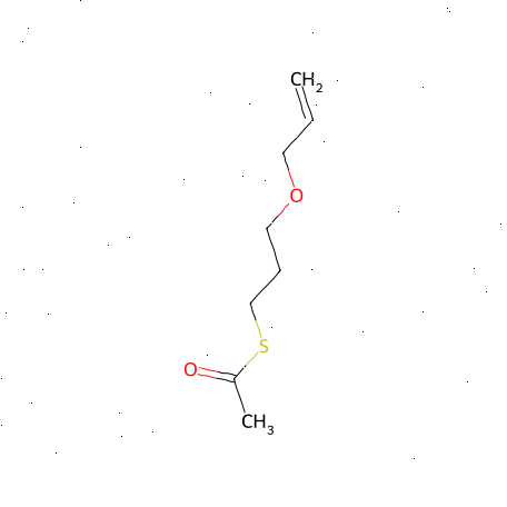 C=CCOCCCSC(C)=O